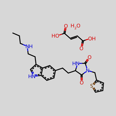 CCCNCCc1c[nH]c2ccc(CCC3NC(=O)N(Cc4cccs4)C3=O)cc12.O.O=C(O)C=CC(=O)O